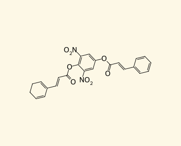 O=C(/C=C/c1ccccc1)Oc1cc([N+](=O)[O-])c(OC(=O)/C=C/C2=CCCC=C2)c([N+](=O)[O-])c1